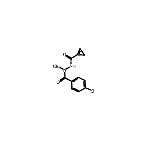 CC(C)(C)N(NC(=O)C1=CC1)C(=O)c1ccc(Cl)cc1